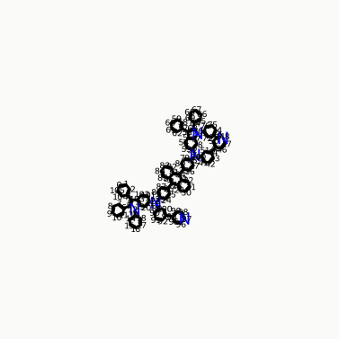 c1ccc(-c2c(-c3ccccc3)n(-c3ccccc3)c3cc(N(c4ccc(-c5c6ccccc6c(-c6ccc(N(c7cccc(-c8ccncc8)c7)c7ccc8c(-c9ccccc9)c(-c9ccccc9)n(-c9ccccc9)c8c7)cc6)c6ccccc56)cc4)c4cccc(-c5ccncc5)c4)ccc23)cc1